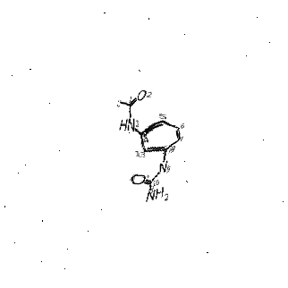 CC(=O)Nc1cccc([N]C(N)=O)c1